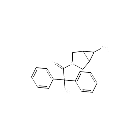 NC1C2CN(C(=O)C(O)(c3ccccc3)c3ccccc3)CC12